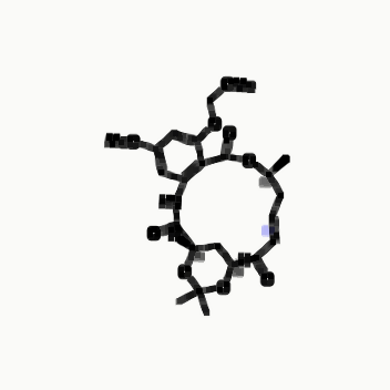 COCOc1cc(OC)cc2c1C(=O)O[C@@H](C)C/C=C/C(=O)[C@@H]1C[C@H](OC(C)(C)O1)C(=O)N2